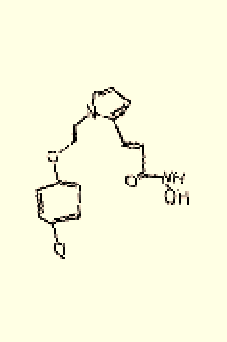 O=C(C=Cc1cccn1CCOc1ccc(Cl)cc1)NO